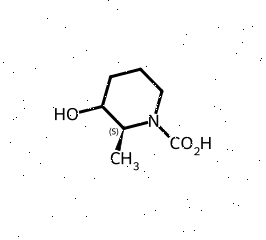 C[C@H]1C(O)CCCN1C(=O)O